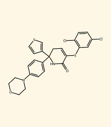 O=C1NC(c2ccc(N3CCOCC3)cc2)(c2ccsc2)C[C]=C1Sc1cc(Cl)ccc1Cl